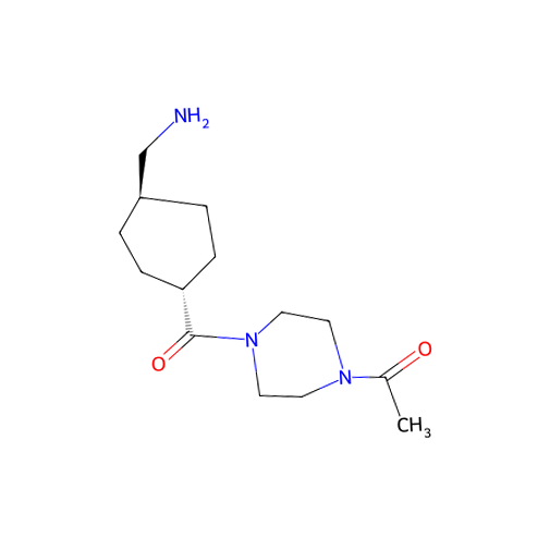 CC(=O)N1CCN(C(=O)[C@H]2CC[C@H](CN)CC2)CC1